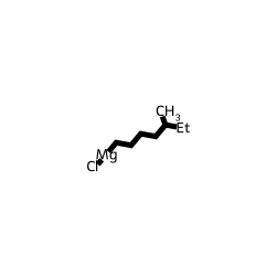 CCC(C)CCC[CH2][Mg][Cl]